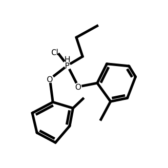 CCC[PH](Cl)(Oc1ccccc1C)Oc1ccccc1C